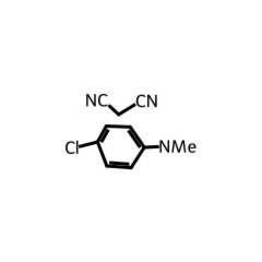 CNc1ccc(Cl)cc1.N#CCC#N